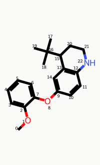 COc1ccccc1Oc1ccc2c(c1)C(C(C)(C)C)CCN2